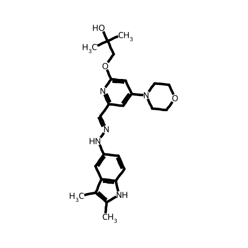 Cc1[nH]c2ccc(NN=Cc3cc(N4CCOCC4)cc(OCC(C)(C)O)n3)cc2c1C